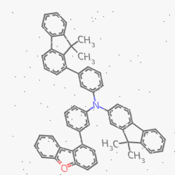 CC1(C)c2ccccc2-c2ccc(N(c3cccc(-c4cccc5c4C(C)(C)c4ccccc4-5)c3)c3cccc(-c4cccc5oc6ccccc6c45)c3)cc21